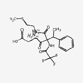 CSCC[C@H](N)C(=O)C(NC(=O)C(F)(F)F)(C(=O)[C@@H](N)CC(=O)O)C(C)c1ccccc1